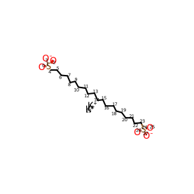 O=S(=O)([O-])CCCCCCCCCCCCCCCCCCCCS(=O)(=O)[O-].[K+].[K+]